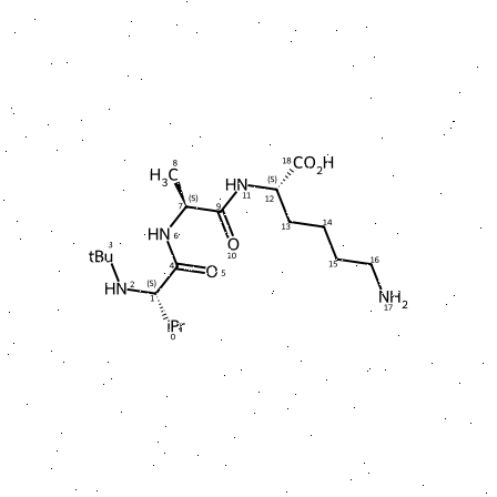 CC(C)[C@H](NC(C)(C)C)C(=O)N[C@@H](C)C(=O)N[C@@H](CCCCN)C(=O)O